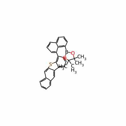 CC1(C)OB(c2cccc3cccc(-c4cccc5c4sc4cc6ccccc6cc45)c23)OC1(C)C